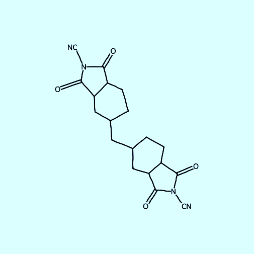 N#CN1C(=O)C2CCC(CC3CCC4C(=O)N(C#N)C(=O)C4C3)CC2C1=O